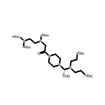 CCCCCCCCCCCCN(CCCCCCCCCCCC)[C@H](C=O)N1CCN(C(=O)CN(CCCCCCCCC)CCN(CCCCCCCCC)CCCCCCCCC)CC1